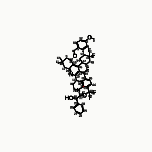 COc1ccc(CO[C@H]2CC(C)(C)Cc3nc(C4CCN(C(=O)[C@H](O)c5ccccc5)CC4)c([C@@H](F)c4ccc(C(F)(F)F)cc4)c(C4CCC(F)(F)CC4)c32)cc1